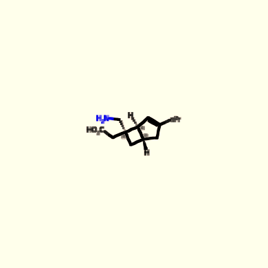 CCCC1=C[C@H]2[C@H](C1)C[C@@]2(CN)CC(=O)O